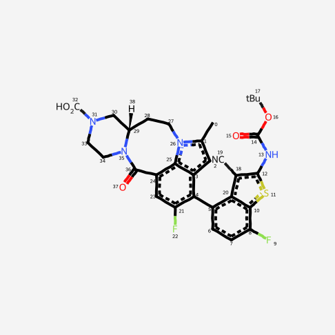 Cc1cc2c(-c3ccc(F)c4sc(NC(=O)OC(C)(C)C)c(C#N)c34)c(F)cc3c2n1CC[C@H]1CN(C(=O)O)CCN1C3=O